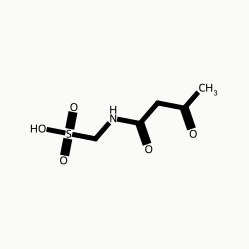 CC(=O)CC(=O)NCS(=O)(=O)O